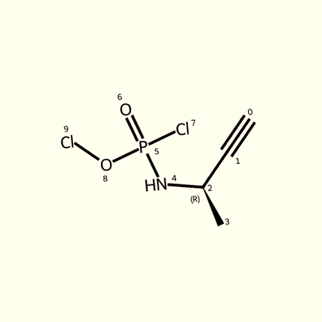 C#C[C@@H](C)NP(=O)(Cl)OCl